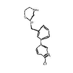 Clc1ccc(-c2cccc(C[C@@H]3CNCCO3)c2)cn1